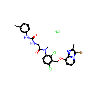 CCc1cccc(NC(=O)NCC(=O)N(C)c2ccc(Cl)c(COc3cccn4c(Br)c(C)nc34)c2Cl)c1.Cl